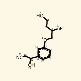 CCCC(CCO)COc1cccc(C(O)CC#N)c1